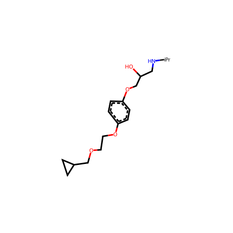 CC(C)NCC(O)COc1ccc(OCCOCC2CC2)cc1